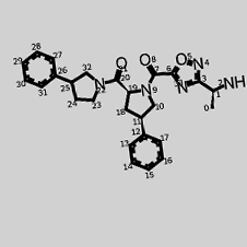 C[C@H](N)c1noc(C(=O)N2C[C@@H](c3ccccc3)C[C@H]2C(=O)N2CCC(c3ccccc3)C2)n1